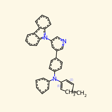 C=C/C=C\C(=C/C)N(c1ccccc1)c1ccc(-c2cncc(-n3c4ccccc4c4ccccc43)c2)cc1